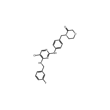 O=C1COCCN1Cc1ccc(Nc2ncc(Cl)c(NCc3cccc(F)c3)n2)cc1